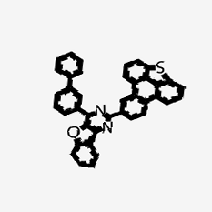 c1ccc(-c2cccc(-c3nc(-c4ccc5c(c4)c4cccc6sc7cccc5c7c64)nc4c3oc3ccccc34)c2)cc1